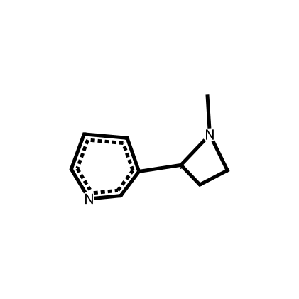 CN1CC[C]1c1cccnc1